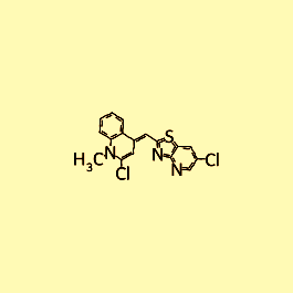 CN1C(Cl)=C/C(=C\c2nc3ncc(Cl)cc3s2)c2ccccc21